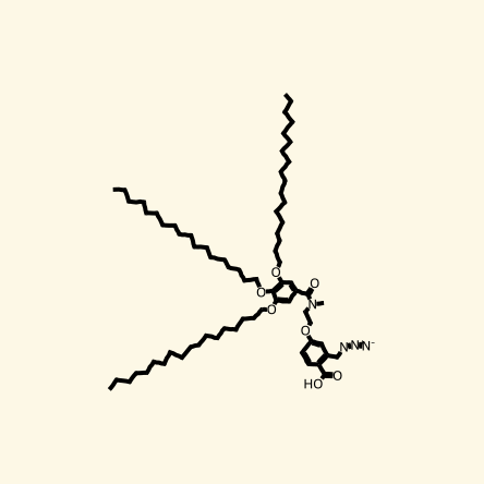 CCCCCCCCCCCCCCCCCCOc1cc(C(=O)N(C)CCOc2ccc(C(=O)O)c(CN=[N+]=[N-])c2)cc(OCCCCCCCCCCCCCCCCCC)c1OCCCCCCCCCCCCCCCCCC